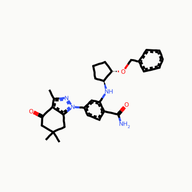 Cc1nn(-c2ccc(C(N)=O)c(N[C@H]3CCC[C@@H]3OCc3ccccc3)c2)c2c1C(=O)CC(C)(C)C2